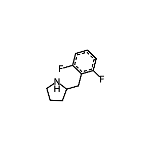 Fc1cccc(F)c1CC1CCCN1